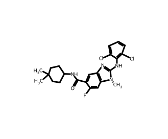 Cn1c(Nc2c(Cl)cccc2Cl)nc2cc(C(=O)NC3CCC(C)(C)CC3)c(F)cc21